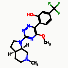 COc1nc(N2CC[C@@H]3CCN(C)C[C@@H]32)nnc1-c1ccc(C(F)(F)F)cc1O